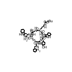 CC(C)[C@@H]1NC(=O)[C@H](CCCCCNC(=O)OC(C)(C)C)NC(=O)[C@@H](Cc2c[nH]c3ccccc23)NC(=O)[C@H](Cc2ccc(O)cc2)NC(=O)[C@@H](NC(=O)[C@H](N)Cc2ccccc2)CSSC[C@@H](C(=O)N[C@@H](Cc2c[nH]c3ccccc23)C(N)=O)NC1=O